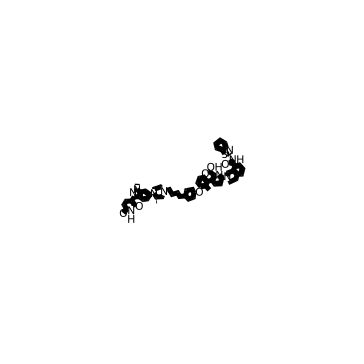 Cc1c(OC2CCC(CCCCN3CCN(c4ccc5c(C6CCC(=O)NC6=O)nn(C)c5c4)[C@@H](C)C3)CC2)cccc1-c1ccc(N2CCc3cccc(C(=O)Nc4nc5ccccc5s4)c3C2)nc1C(=O)O